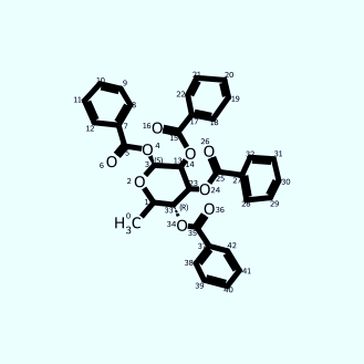 CC1O[C@@H](OC(=O)c2ccccc2)C(OC(=O)c2ccccc2)C(OC(=O)c2ccccc2)[C@@H]1OC(=O)c1ccccc1